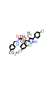 Cc1c(C(OC(C)(C)C(=O)NCc2ccc(C(=O)O)cc2)c2ccc(Cl)cc2Cl)n[nH]c1-c1ccc(Cl)cc1